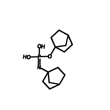 OP(O)(=NC12CCC(CC1)C2)OC12CCC(CC1)C2